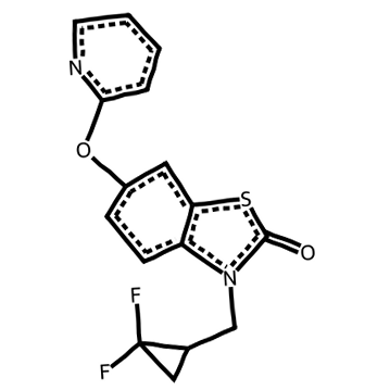 O=c1sc2cc(Oc3ccccn3)ccc2n1CC1CC1(F)F